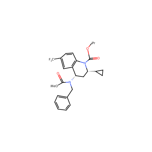 COC(=O)N(Cc1ccccc1)[C@H]1C[C@@H](C2CC2)N(C(=O)OC(C)C)c2ccc(C(F)(F)F)cc21